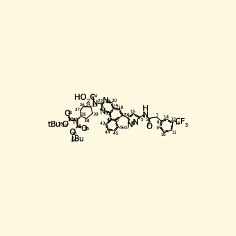 Cn1nc(NC(=O)Cc2cccc(C(F)(F)F)c2)cc1-c1cc2cnc(N(C(=O)O)[C@H]3CC[C@H](N(C(=O)OC(C)(C)C)C(=O)OC(C)(C)C)CC3)nc2c2ccccc12